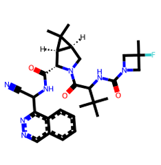 CC1(F)CN(C(=O)NC(C(=O)N2C[C@H]3[C@@H]([C@H]2C(=O)NC(C#N)c2nncc4ccccc24)C3(C)C)C(C)(C)C)C1